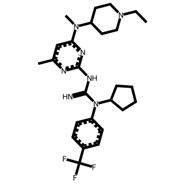 CCN1CCC(N(C)c2cc(C)nc(NC(=N)N(c3ccc(C(F)(F)F)cc3)C3CCCC3)n2)CC1